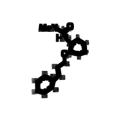 CNC(=O)Nc1ccccc1OC/C=C/c1ccccc1